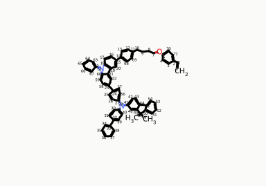 C=Cc1ccc(OCCCCc2ccc(-c3ccc4c(c3)c3cc(-c5ccc(N(c6ccc(-c7ccccc7)cc6)c6ccc7c(c6)C(C)(C)c6ccccc6-7)cc5)ccc3n4-c3ccccc3)cc2)cc1